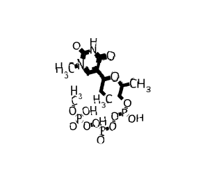 CCC(OC(C)COP(O)OO[PH](=O)OOP(=O)(O)OC)c1cn(C)c(=O)[nH]c1=O